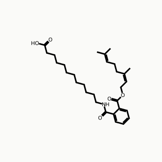 CC(C)=CCCC(C)=CCOC(=O)c1ccccc1C(=O)NCCCCCCCCCCCC(=O)O